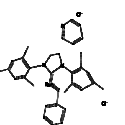 Cc1cc(C)c(N2CCN(c3c(C)cc(C)cc3C)[C]2=[Ru+2]=[CH]c2ccccc2)c(C)c1.[Cl-].[Cl-].c1ccncc1